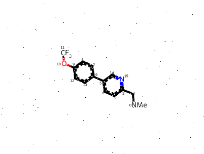 CNCc1ccc(-c2ccc(OC(F)(F)F)cc2)cn1